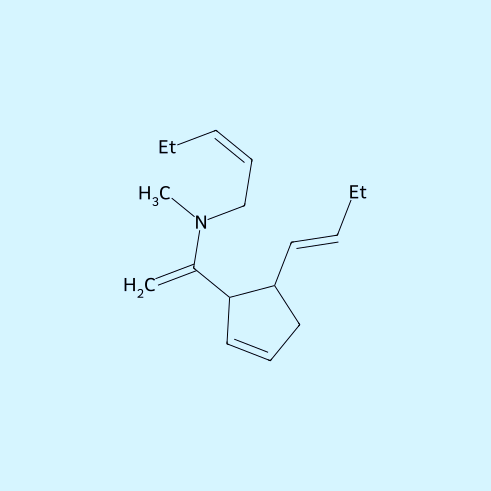 C=C(C1C=CCC1/C=C/CC)N(C)C/C=C\CC